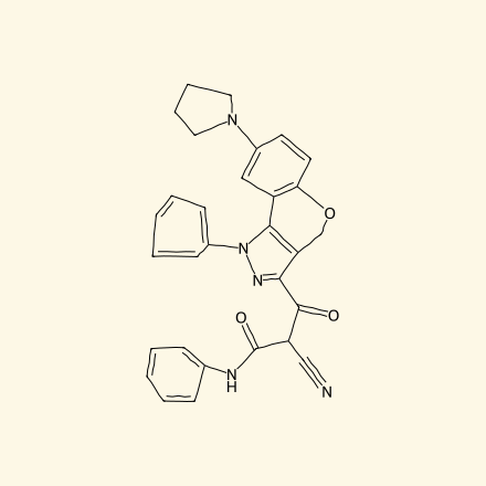 N#CC(C(=O)Nc1ccccc1)C(=O)c1nn(-c2ccccc2)c2c1COc1ccc(N3CCCC3)cc1-2